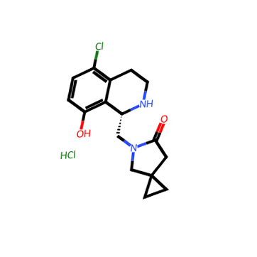 Cl.O=C1CC2(CC2)CN1C[C@H]1NCCc2c(Cl)ccc(O)c21